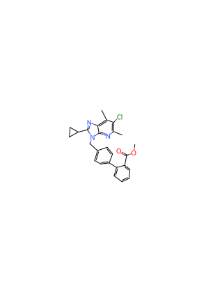 COC(=O)c1ccccc1-c1ccc(Cn2c(C3CC3)nc3c(C)c(Cl)c(C)nc32)cc1